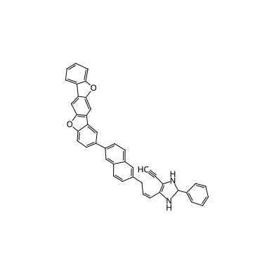 C#CC1=C(/C=C\Cc2ccc3cc(-c4ccc5oc6cc7c(cc6c5c4)oc4ccccc47)ccc3c2)NC(c2ccccc2)N1